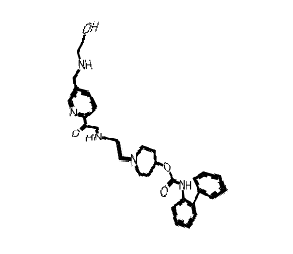 O=C(Nc1ccccc1-c1ccccc1)OC1CCN(CCNCC(=O)c2ccc(CNCCO)cn2)CC1